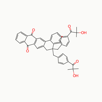 CC(C)(O)C(=O)c1ccc(CC2(Cc3ccc(C(=O)C(C)(C)O)cc3)Cc3cc4c(cc3-c3ccccc32)C(=O)c2ccccc2C4=O)cc1